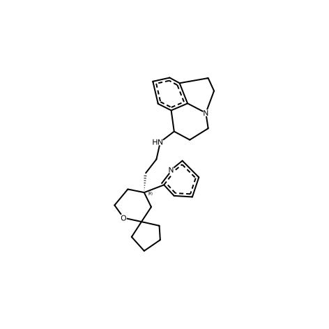 c1ccc([C@]2(CCNC3CCN4CCc5cccc3c54)CCOC3(CCCC3)C2)nc1